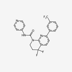 O=C(Nc1ccncc1)N1CCC(F)(F)c2ccc(-c3cccc(C(F)(F)F)c3)nc21